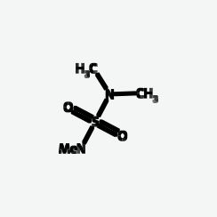 CNS(=O)(=O)N(C)C